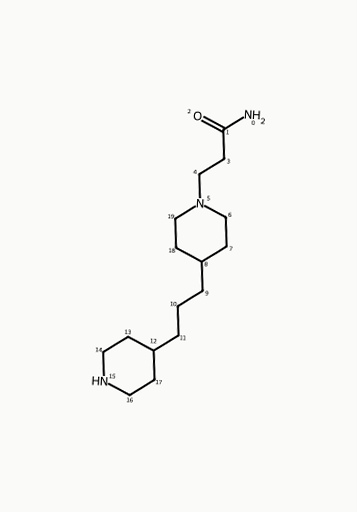 NC(=O)CCN1CCC(CCCC2CCNCC2)CC1